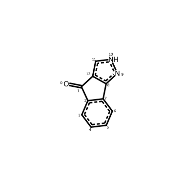 O=C1c2ccccc2-c2n[nH]cc21